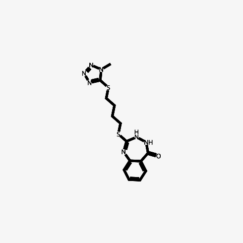 Cn1nnnc1SCCCCSC1=Nc2ccccc2C(=O)NN1